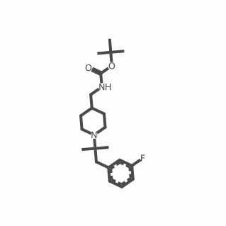 CC(C)(C)OC(=O)NCC1CCN(C(C)(C)Cc2cccc(F)c2)CC1